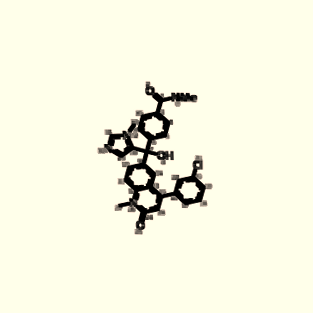 CNC(=O)c1ccc(C(O)(c2ccc3c(c2)c(-c2cccc(Cl)c2)cc(=O)n3C)c2cncn2C)cc1